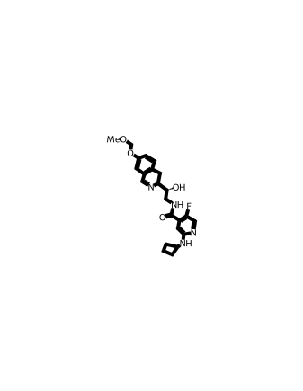 COCOc1ccc2c(c1)C=NC([C@H](O)CNC(=O)c1cc(NC3CCC3)ncc1F)C2